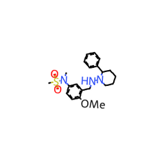 COc1ccc(N(C)S(C)(=O)=O)cc1CNN1CCCCC1c1ccccc1